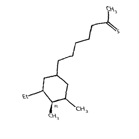 CCC1CC(CCCCCC(C)=S)CC(C)[C@H]1C